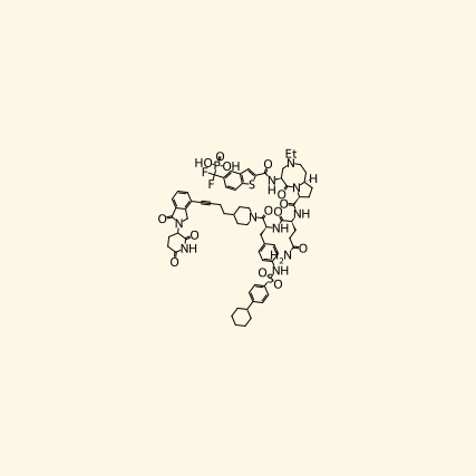 CCN1CC[C@H]2CC[C@@H](C(=O)N[C@@H](CCC(N)=O)C(=O)N[C@@H](Cc3ccc(NS(=O)(=O)c4ccc(C5CCCCC5)cc4)cc3)C(=O)N3CCC(CCC#Cc4cccc5c4CN(C4CCC(=O)NC4=O)C5=O)CC3)N2C(=O)[C@@H](NC(=O)c2cc3cc(C(F)(F)P(=O)(O)O)ccc3s2)C1